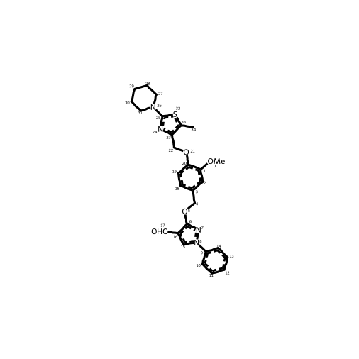 COc1cc(COc2nn(-c3ccccc3)cc2C=O)ccc1OCc1nc(N2CCCCC2)sc1C